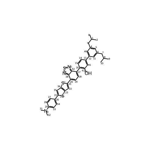 CC(C)Cc1cc(CC(C)C)cc(-c2ccc(-c3ccc(-c4cc5sc(-c6ccc(N(C)C)cc6)cc5s4)c4nsnc34)c(O)c2)c1